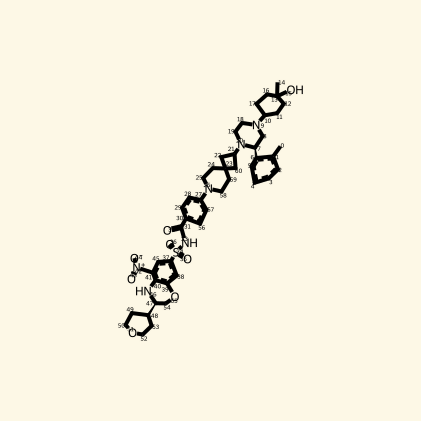 Cc1ccccc1[C@@H]1CN(C2CCC(C)(O)CC2)CCN1C1CC2(CCN(c3ccc(C(=O)NS(=O)(=O)c4cc5c(c([N+](=O)[O-])c4)N[C@H](C4CCOCC4)CO5)cc3)CC2)C1